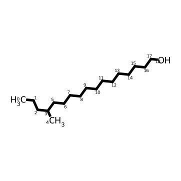 CCCC(C)CCCCCCCCCCCCCO